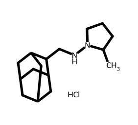 CC1CCCN1NCC1C2CC3CC(C2)CC1C3.Cl